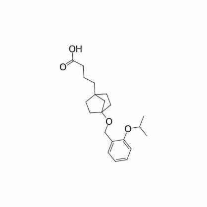 CC(C)Oc1ccccc1COC12CCC(CCCC(=O)O)(CC1)C2